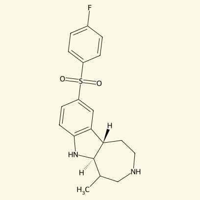 CC1CNCC[C@H]2c3cc(S(=O)(=O)c4ccc(F)cc4)ccc3N[C@H]12